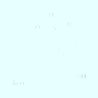 CC(=O)OCC12CC3C(CO)(C1)C(OS3(=O)=O)C2C